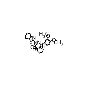 COc1ccc(C2=NN(c3nc4ccccc4s3)C(=O)[C@@H]3CC=CC[C@H]23)cc1OC